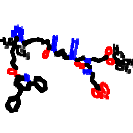 CC(C)(C)OC(=O)CCN(CC(=O)NCCCNC(=O)CCCCn1nnnc1C(C)(C)CCCCOc1cc(-c2ccccc2)cc(-c2ccccc2)n1)C(=O)CNCCC(=O)O